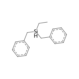 CC[SiH](Cc1ccccc1)Cc1ccccc1